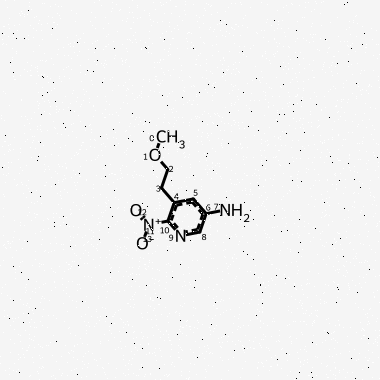 COCCc1cc(N)cnc1[N+](=O)[O-]